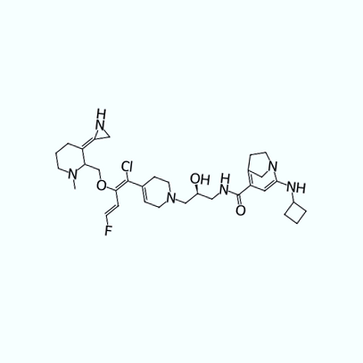 CN1CCC/C(=C2/CN2)C1COC(/C=C/F)=C(\Cl)C1=CCN(C[C@@H](O)CNC(=O)C2=C3CCN(C3)C(NC3CCC3)=C2)CC1